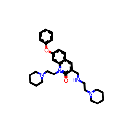 O=c1c(CNCCN2CCCCC2)cc2ccc(Oc3ccccc3)cc2n1CCN1CCCCC1